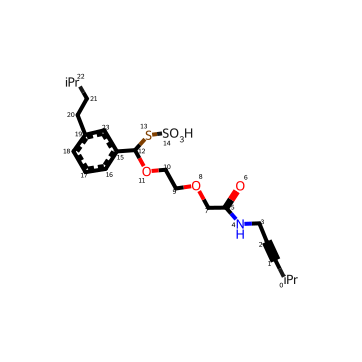 CC(C)C#CCNC(=O)COCCOC(SS(=O)(=O)O)c1cccc(CCC(C)C)c1